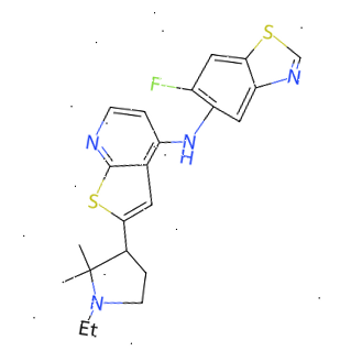 CCN1CCC(c2cc3c(Nc4cc5ncsc5cc4F)ccnc3s2)C1(C)C